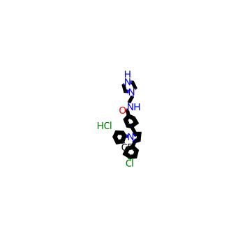 Cl.O=C(NCCN1CCNCC1)c1ccc(-c2ccc(-c3ccc(Cl)cc3)n2-c2ccccc2C(F)(F)F)cc1